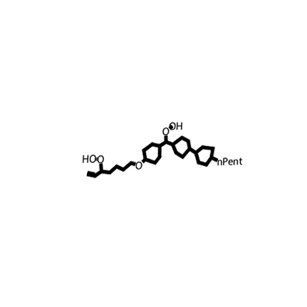 C=CC(CCCCOC1CCC(C(OO)C2CCC(C3CCC(CCCCC)CC3)CC2)CC1)OO